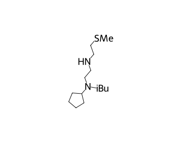 CCC(C)N(CCNCCSC)C1CCCC1